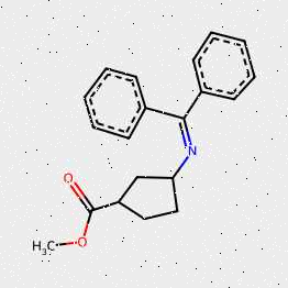 COC(=O)C1CCC(N=C(c2ccccc2)c2ccccc2)C1